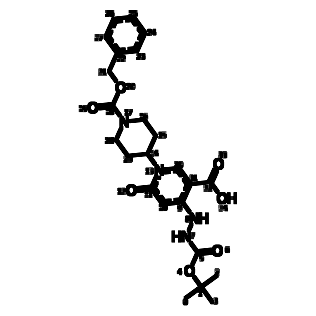 CC(C)(C)OC(=O)NNc1cc(=O)n(C2CCN(C(=O)OCc3ccccc3)CC2)cc1C(=O)O